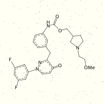 COCCN1CCC(COC(=O)Nc2cccc(Cc3nn(-c4cc(F)cc(F)c4)ccc3=O)c2)C1